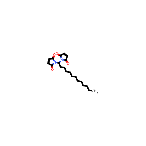 CCCCCCCCCCCCC(N1C(=O)C=CC1=O)N1C(=O)C=CC1=O